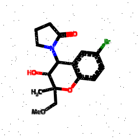 COCC1(C)Oc2ccc(Br)cc2C(N2CCCC2=O)C1O